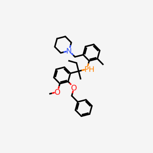 CCC(C)(Pc1c(C)cccc1CN1CCCCC1)c1cccc(OC)c1OCc1ccccc1